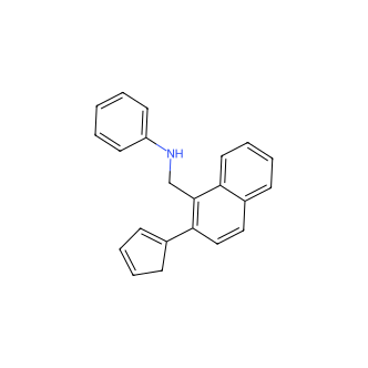 C1=CCC(c2ccc3ccccc3c2CNc2ccccc2)=C1